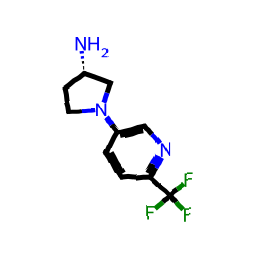 N[C@H]1CCN(c2ccc(C(F)(F)F)nc2)C1